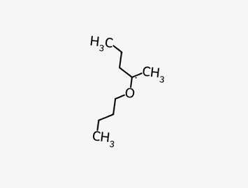 CCCCO[C](C)CCC